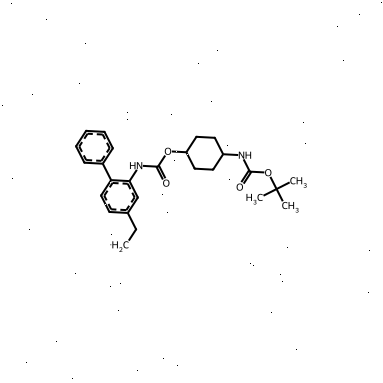 [CH2]Cc1ccc(-c2ccccc2)c(NC(=O)OC2CCC(NC(=O)OC(C)(C)C)CC2)c1